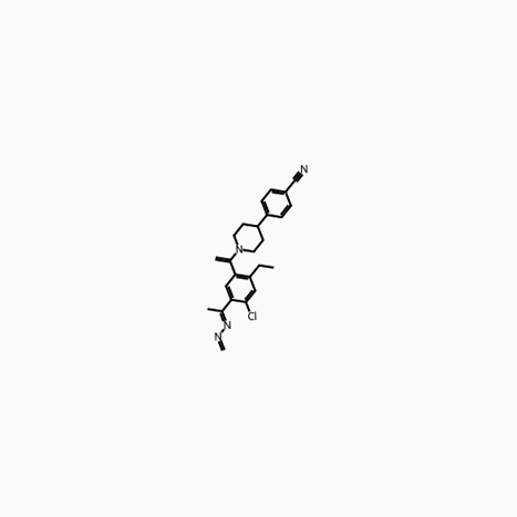 C=N/N=C(\C)c1cc(C(=C)N2CCC(c3ccc(C#N)cc3)CC2)c(CC)cc1Cl